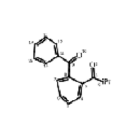 CC(C)C(=O)c1ccccc1C(=O)c1ccccc1